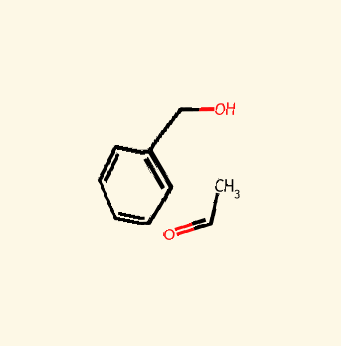 CC=O.OCc1ccccc1